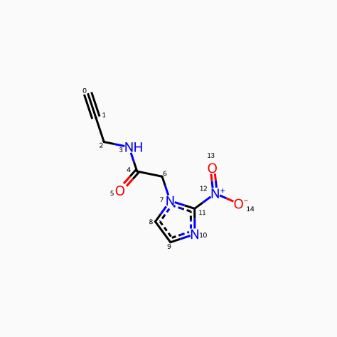 C#CCNC(=O)Cn1ccnc1[N+](=O)[O-]